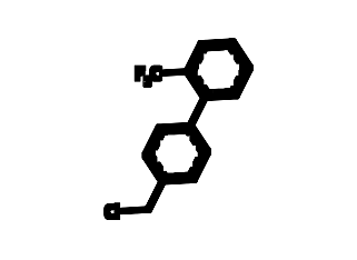 FC(F)(F)c1ccccc1-c1ccc(CCl)cc1